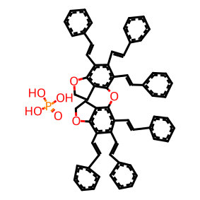 C(=Cc1c(C=Cc2ccccc2)c2c(c(Oc3c(C=Cc4ccccc4)c(C=Cc4ccccc4)c(C=Cc4ccccc4)c4c3CCO4)c1C=Cc1ccccc1)CCO2)c1ccccc1.O=P(O)(O)O